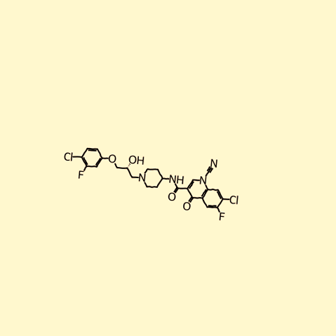 N#Cn1cc(C(=O)NC2CCN(C[C@@H](O)COc3ccc(Cl)c(F)c3)CC2)c(=O)c2cc(F)c(Cl)cc21